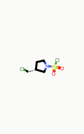 O=S(=O)(Cl)N1CC[C@@H](CCl)C1